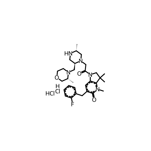 C[C@@H]1CN(CC(=O)N2CC(C)(C)c3c2cc(Cc2ccccc2F)c(=O)n3C)[C@@H](CN2CCOC[C@H]2C)CN1.Cl.Cl